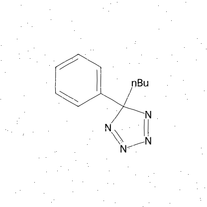 CCCCC1(c2ccccc2)N=NN=N1